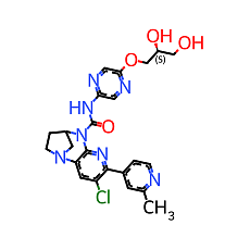 Cc1cc(-c2nc3c(cc2Cl)N2CCC(C2)N3C(=O)Nc2cnc(OC[C@@H](O)CO)cn2)ccn1